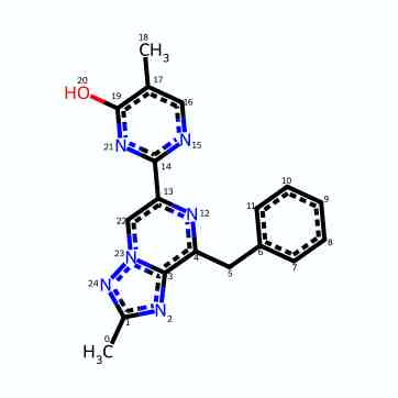 Cc1nc2c(Cc3ccccc3)nc(-c3ncc(C)c(O)n3)cn2n1